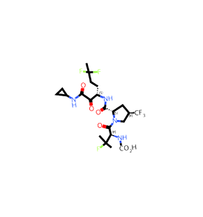 CC(F)(F)CC[C@H](NC(=O)[C@@H]1C[C@@H](C(F)(F)F)CN1C(=O)[C@@H](NC(=O)O)C(C)(C)F)C(=O)C(=O)NC1CC1